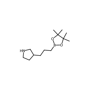 CC1(C)OB(CCCC2CCNC2)OC1(C)C